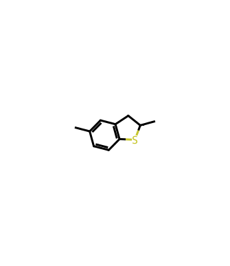 C[C]1Cc2cc(C)ccc2S1